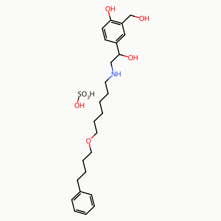 O=S(=O)(O)O.OCc1cc(C(O)CNCCCCCCOCCCCc2ccccc2)ccc1O